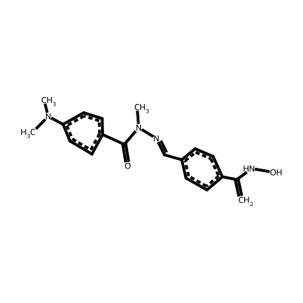 C=C(NO)c1ccc(/C=N/N(C)C(=O)c2ccc(N(C)C)cc2)cc1